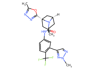 Cc1nnc([C@]23C[C@H](C)C[C@H](C2)N3C(=O)Nc2ccc(C(F)(F)F)c(-c3cnn(C)n3)c2)o1